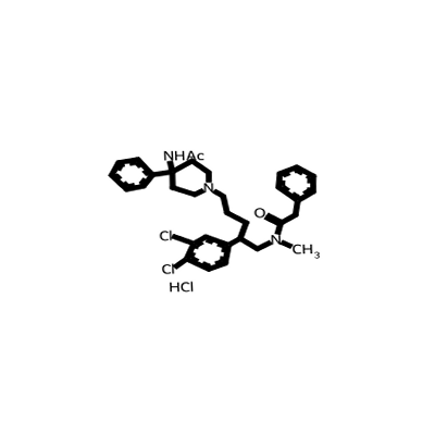 CC(=O)NC1(c2ccccc2)CCN(CCCC(CN(C)C(=O)Cc2ccccc2)c2ccc(Cl)c(Cl)c2)CC1.Cl